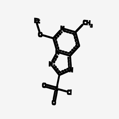 CCOc1nc(C)cc2nc(S(=O)(=O)Cl)nn12